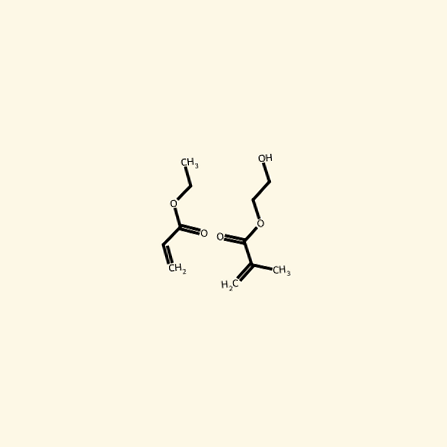 C=C(C)C(=O)OCCO.C=CC(=O)OCC